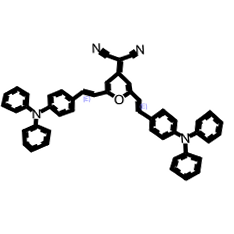 N#CC(C#N)=C1C=C(/C=C/c2ccc(N(c3ccccc3)c3ccccc3)cc2)OC(/C=C/c2ccc(N(c3ccccc3)c3ccccc3)cc2)=C1